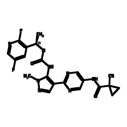 C[C@@H](OC(=O)Nc1c(-c2ncc(NC(=O)C3(C#N)CC3)cn2)cnn1C)c1cc(F)cnc1F